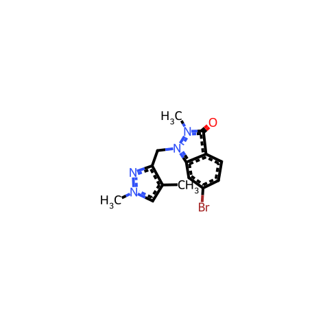 Cc1cn(C)nc1Cn1c2cc(Br)ccc2c(=O)n1C